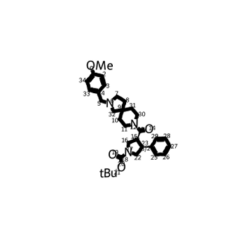 COc1ccc(CN2CCC3(CCN(C(=O)[C@@H]4CN(C(=O)OC(C)(C)C)C[C@@H]4c4ccccc4)CC3)C2)cc1